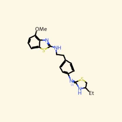 CCC1CS/C(=N\c2ccc(CCNc3nc4c(OC)cccc4s3)cc2)N1